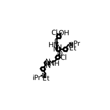 CCCN(CC)Cc1cccc(-c2nc(NCCc3ccc(O)c(Cl)c3)ncc2Oc2ccc(CCNc3nccc(-c4cccc(CN(CC)CC(C)C)c4)n3)cc2Cl)c1